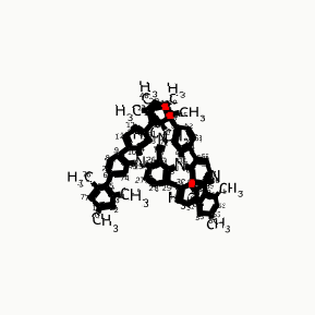 Cc1cc(C)c(-c2ccc3c4ccc(-c5c(C)cc(C)cc5C)cc4n(-c4ccc(-c5cccc(C#N)c5)c(-n5c6cc(-c7c(C)cc(C)cc7C)ccc6c6ccc(-c7c(C)cc(C)cc7C)cc65)c4C#N)c3c2)c(C)c1